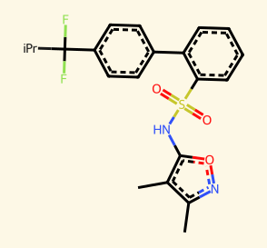 Cc1noc(NS(=O)(=O)c2ccccc2-c2ccc(C(F)(F)C(C)C)cc2)c1C